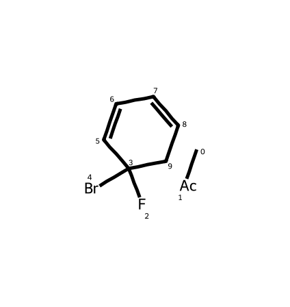 CC(C)=O.FC1(Br)C=CC=CC1